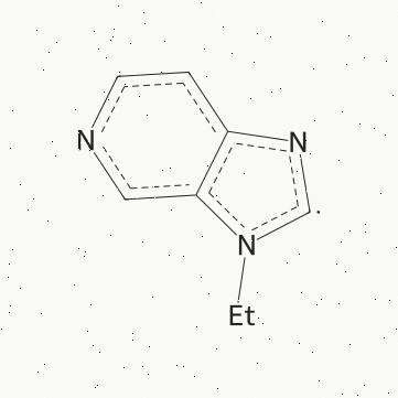 CCn1[c]nc2ccncc21